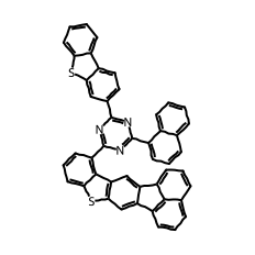 c1ccc2c(-c3nc(-c4ccc5c(c4)sc4ccccc45)nc(-c4cccc5sc6cc7c(cc6c45)-c4cccc5cccc-7c45)n3)cccc2c1